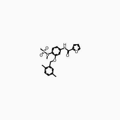 Cc1ccc(C)c(COc2cc(NC(=O)c3ccco3)ccc2N(C)S(C)(=O)=O)c1